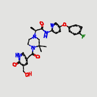 C[C@@H](C(=O)Nc1ccc(Oc2ccc(F)cc2)cn1)N1CCN(C(=O)c2c[nH]c(=O)c(CO)c2)C(C)(C)C1